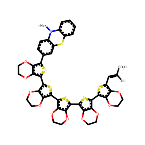 [C-]#[N+]/C(=C\c1sc(-c2sc(-c3sc(-c4sc(-c5sc(-c6ccc7c(c6)Sc6ccccc6N7CCCCCC)c6c5OCCO6)c5c4OCCO5)c4c3OCCO4)c3c2OCCO3)c2c1OCCO2)C(=O)O